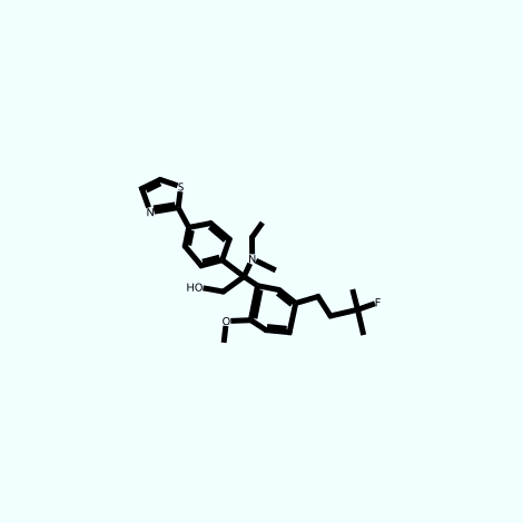 CCN(C)C(CO)(c1ccc(-c2nccs2)cc1)c1cc(CCC(C)(C)F)ccc1OC